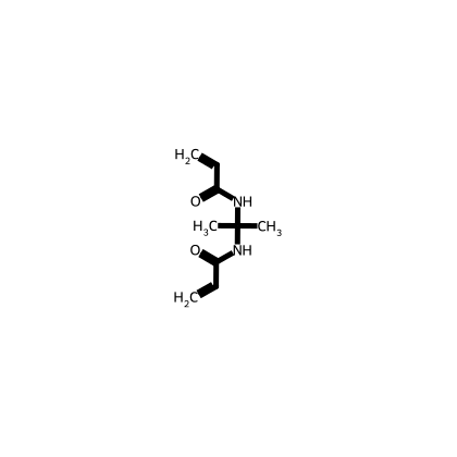 C=CC(=O)NC(C)(C)NC(=O)C=C